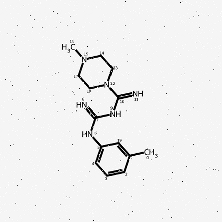 Cc1cccc(NC(=N)NC(=N)N2CCN(C)CC2)c1